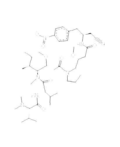 CC[C@H](C)[C@@H]([C@@H](CC(=O)N1CCC[C@H]1[C@H](OC)[C@@H](C)C(=O)N[C@H](CC#N)Cc1ccc([N+](=O)[O-])cc1)OC)N(C)C(=O)[C@@H](NC(=O)[C@H](C(C)C)N(C)C)C(C)C